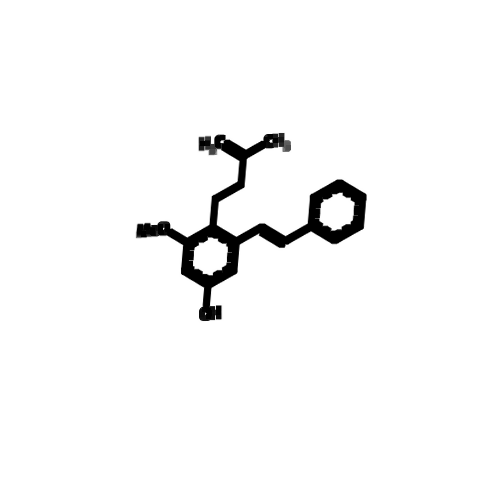 C=C(C)CCc1c(/C=C/c2ccccc2)cc(O)cc1OC